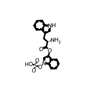 N[C@@H](Cc1c[nH]c2ccccc12)C(=O)Oc1cn(OS(=O)(=O)O)c2ccccc12